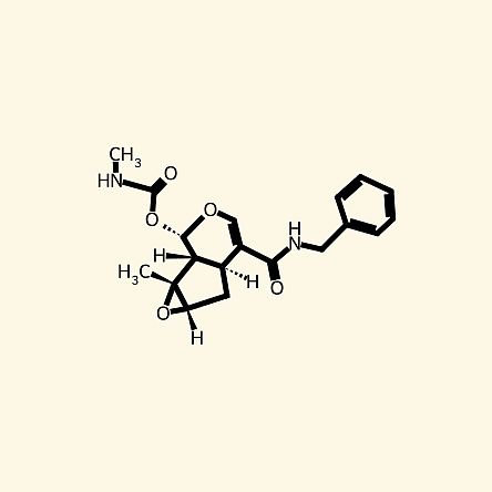 CNC(=O)O[C@@H]1OC=C(C(=O)NCc2ccccc2)[C@H]2C[C@@H]3O[C@]3(C)[C@H]12